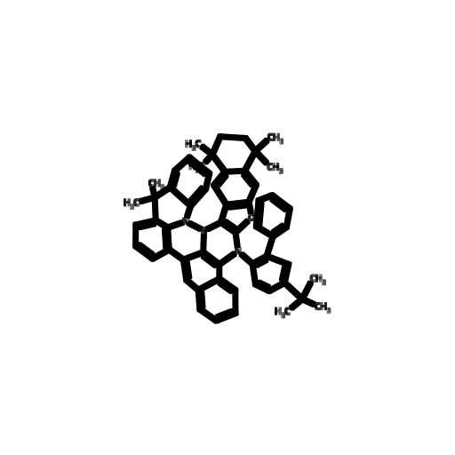 CC(C)(C)c1ccc(N2c3oc4cc5c(cc4c3B3c4c(cc6ccccc6c42)-c2cccc4c2N3c2ccccc2C4(C)C)C(C)(C)CCC5(C)C)c(-c2ccccc2)c1